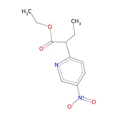 CCOC(=O)C(CC)c1ccc([N+](=O)[O-])cn1